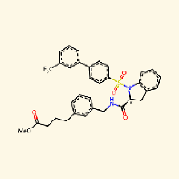 COC(=O)CCCc1cccc(CNC(=O)[C@@H]2Cc3ccccc3N2S(=O)(=O)c2ccc(-c3cccc(C(F)(F)F)c3)cc2)c1